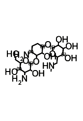 CNCC1O[C@H](O[C@@H]2CC[C@@H](N)C(O[C@H]3OC(CO)[C@@H](O)C(N)C3O)C2O)C(O)C(O)[C@@H]1O